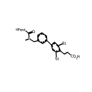 CCCCCC(=O)N(C)Cc1cccc(-c2cc(CC)c(CCC(=O)O)c(CC)c2)c1